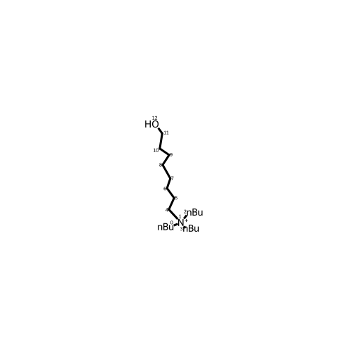 CCCC[N+](CCCC)(CCCC)CCCCCCCCO